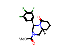 COC(=O)N1C[C@H]2CCCC(=O)N2[C@H](c2cc(F)c(F)c(F)c2)C1